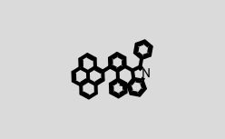 Cc1cccc2c1C(c1cccc(C3=C4C=CC=C5C=CC6=C(C(=C3)CC=C6)C54)c1-c1ccccc1)C(c1ccccc1)=N2